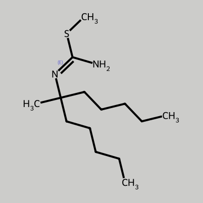 CCCCCC(C)(CCCCC)/N=C(\N)SC